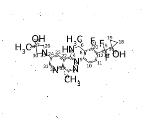 Cc1nnc(N[C@H](C)c2cccc(C(F)(F)C3(O)CC3)c2F)c2cc(N3CC(C)(O)C3)cnc12